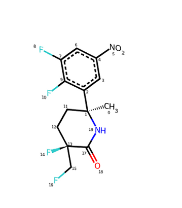 C[C@@]1(c2cc([N+](=O)[O-])cc(F)c2F)CC[C@@](F)(CF)C(=O)N1